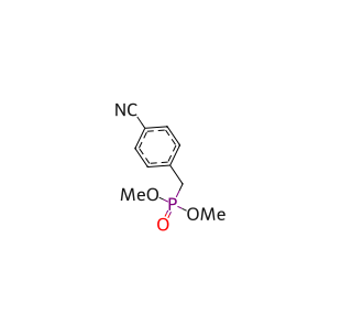 COP(=O)(Cc1ccc(C#N)cc1)OC